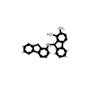 Cc1ccc2c(c1C)C(Nc1cccc3c1Cc1ccccc1-3)c1ccccc1-2